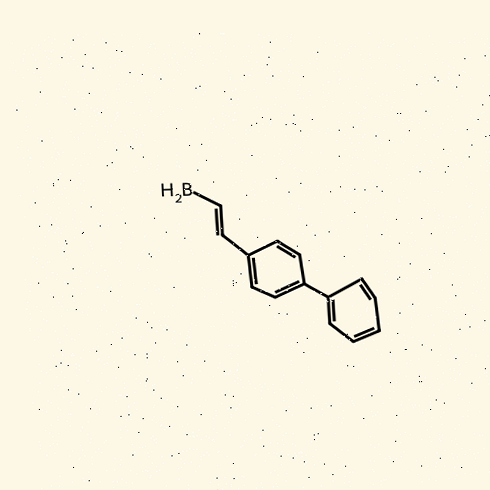 B/C=C/c1ccc(-c2ccccc2)cc1